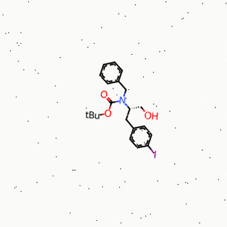 CC(C)(C)OC(=O)N(Cc1ccccc1)[C@H](CO)Cc1ccc(I)cc1